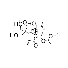 C=C(C)C(=O)O.C=CC(=O)OC(C)OC(C)OCC.OCC(CO)(CO)CO